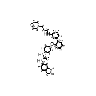 O=C(Nc1ccc(Oc2ncccc2-c2ccnc(NCCCN3CCOCC3)n2)cc1)Nc1ccc2c(c1)CCC2